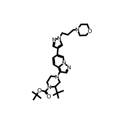 CC(C)(C)OC(=O)N1CCN(c2cnn3cc(-c4cnn(CCCN5CCOCC5)c4)ccc23)CC1C(C)(C)C